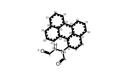 O=CNN(C=O)c1ccc2cccc3c4cccc5cccc(c1c23)c54